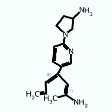 C=C/C=C(\C=C(/C)N)c1ccc(N2CCC(N)C2)nc1